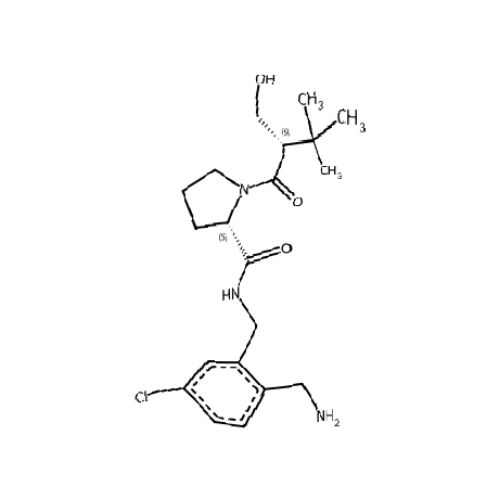 CC(C)(C)[C@@H](CO)C(=O)N1CCC[C@H]1C(=O)NCc1cc(Cl)ccc1CN